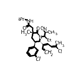 C=C/C(=C\C=C(/C)Cl)[C@@H]1[C@@H](c2cccc(Cl)c2)C[C@](C)(CC(=O)NC(C)C)C(=O)N1C(CC)[C@H](C)O